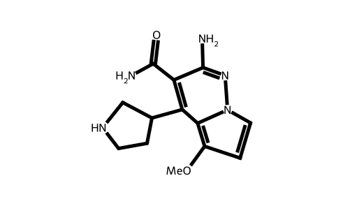 COc1ccn2nc(N)c(C(N)=O)c(C3CCNC3)c12